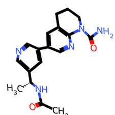 CC(=O)N[C@H](C)c1cncc(-c2cnc3c(c2)CCCN3C(N)=O)c1